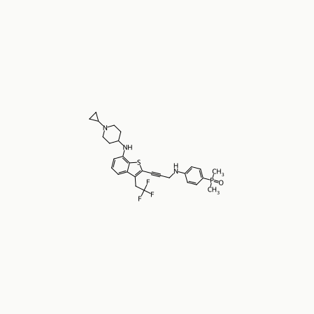 CP(C)(=O)c1ccc(NCC#Cc2sc3c(NC4CCN(C5CC5)CC4)cccc3c2CC(F)(F)F)cc1